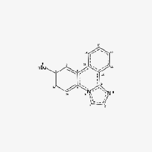 CCCCC1C=c2c(n3ccnc3c3ccccc23)=CC1